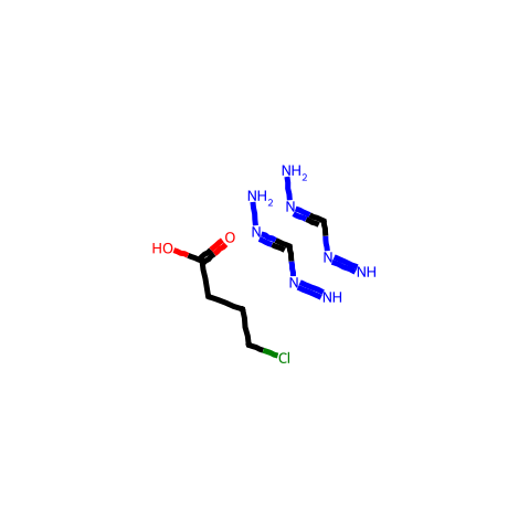 N=NC=NN.N=NC=NN.O=C(O)CCCCl